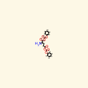 N[C@@H](CCC(=O)OC(=O)Oc1ccccc1)C(=O)OC(=O)Oc1ccccc1